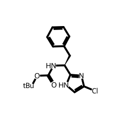 CC(C)(C)OC(=O)N[C@@H](Cc1ccccc1)c1nc(Cl)c[nH]1